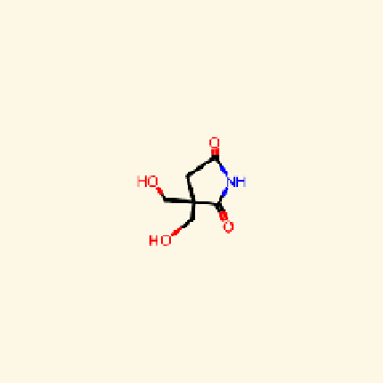 O=C1CC(CO)(CO)C(=O)N1